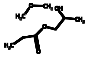 CCC(=O)OCC(C)O.COC